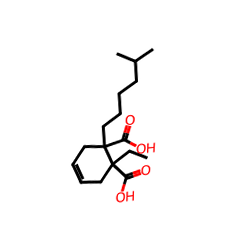 CCC1(C(=O)O)CC=CCC1(CCCCC(C)C)C(=O)O